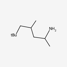 CC(N)CC(C)CC(C)(C)C